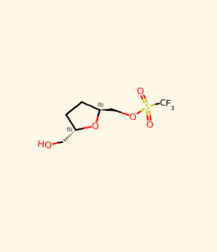 O=S(=O)(OC[C@@H]1CC[C@@H](CO)O1)C(F)(F)F